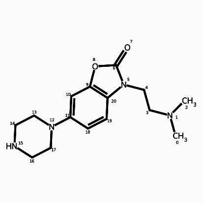 CN(C)CCn1c(=O)oc2cc(N3CCNCC3)ccc21